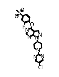 CS(=O)(=O)c1ccc(Oc2ncnc3c2cnn3C2CCN(c3ncc(Cl)cn3)CC2)c(F)c1